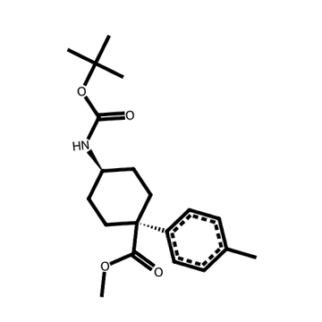 COC(=O)[C@]1(c2ccc(C)cc2)CC[C@H](NC(=O)OC(C)(C)C)CC1